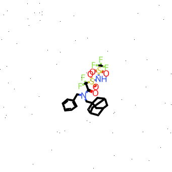 O=C(N(Cc1ccccc1)CC12CC3CC(CC(C3)C1)C2)C(F)(F)S(=O)(=O)NS(=O)(=O)C(F)(F)F